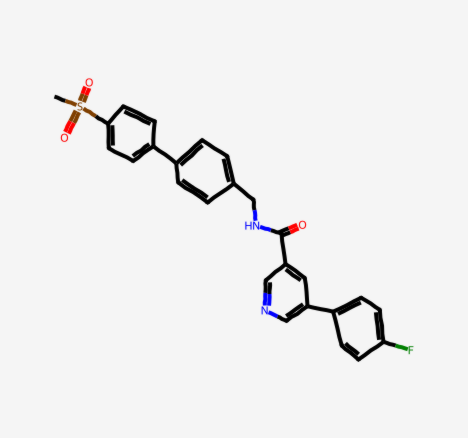 CS(=O)(=O)c1ccc(-c2ccc(CNC(=O)c3cncc(-c4ccc(F)cc4)c3)cc2)cc1